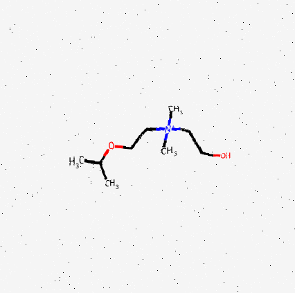 CC(C)OCC[N+](C)(C)CCO